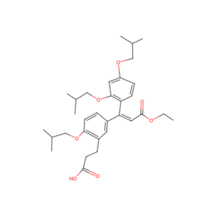 CCOC(=O)C=C(c1ccc(OCC(C)C)c(CCC(=O)O)c1)c1ccc(OCC(C)C)cc1OCC(C)C